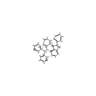 c1ccc(-c2nc3cccnc3n2-c2ccccc2CC(c2cccnc2)c2cccnc2)cc1